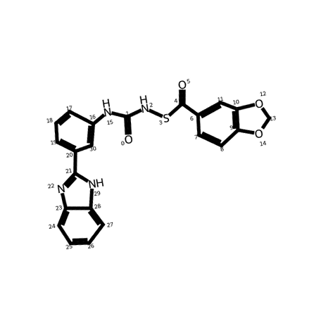 O=C(NSC(=O)c1ccc2c(c1)OCO2)Nc1cccc(-c2nc3ccccc3[nH]2)c1